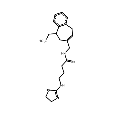 O=C(O)CC1CC(CNC(=O)CCCNC2=NCCN2)=CCc2ccccc21